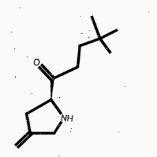 C=C1CN[C@H](C(=O)CCC(C)(C)C)C1